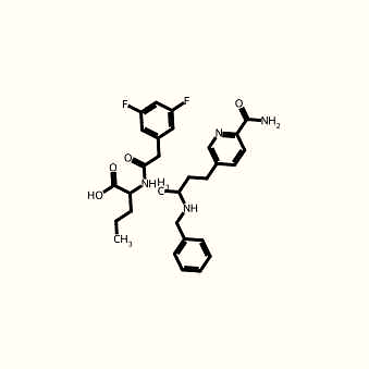 CC(CCc1ccc(C(N)=O)nc1)NCc1ccccc1.CCCC(NC(=O)Cc1cc(F)cc(F)c1)C(=O)O